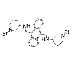 CCN1CCCC(NCc2c3ccccc3c(CNC3CCCN(CC)C3)c3ccccc23)C1